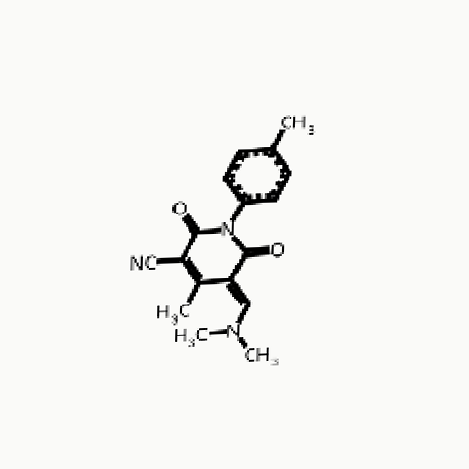 CC1=C(C#N)C(=O)N(c2ccc(C)cc2)C(=O)C1=CN(C)C